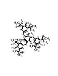 Cc1c(Cc2cc(C(C)(C)C(C)C)c(O)c(C(C)(C)C(C)C)c2)c(C)c(Cc2cc(C(C)(C)C(C)C)c(O)c(C(C)(C)C(C)C)c2)c(C)c1Cc1cc(C(C)(C)C(C)C)c(O)c(C(C)(C)C(C)C)c1